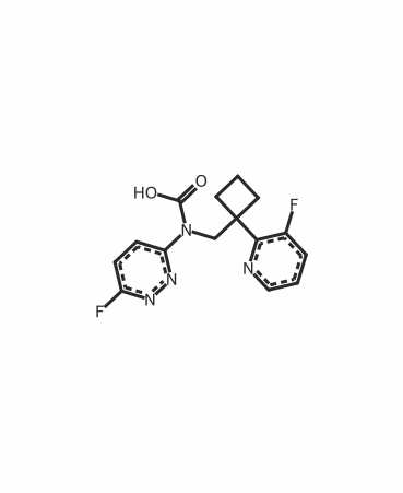 O=C(O)N(CC1(c2ncccc2F)CCC1)c1ccc(F)nn1